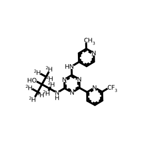 [2H]C([2H])([2H])C(O)(C([2H])([2H])[2H])C([2H])([2H])Nc1nc(Nc2ccnc(C)c2)nc(-c2cccc(C(F)(F)F)n2)n1